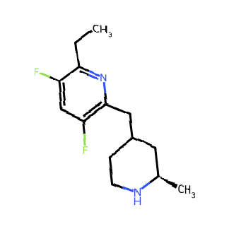 CCc1nc(CC2CCN[C@H](C)C2)c(F)cc1F